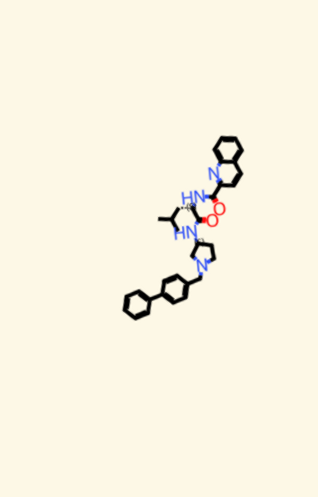 CC(C)C[C@H](NC(=O)c1ccc2ccccc2n1)C(=O)N[C@H]1CCN(Cc2ccc(-c3ccccc3)cc2)C1